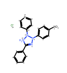 O=[N+]([O-])c1ccc(N2N=C(c3ccccc3)[NH2+]N2C2=C[CH]=[In][CH]=C2)cc1.[Cl-]